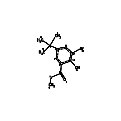 CCC(=O)c1cc(C(C)(C)C)cc(Br)c1O